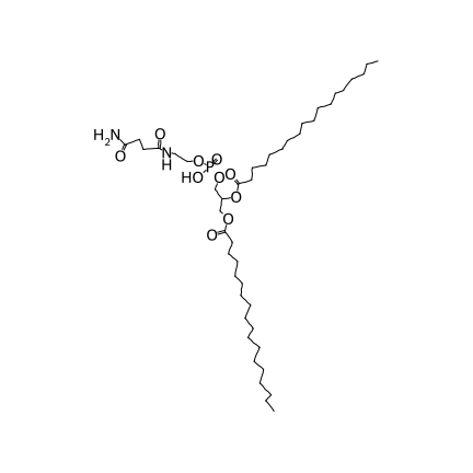 CCCCCCCCCCCCCCCCCC(=O)OCC(COP(=O)(O)OCCNC(=O)CCC(N)=O)OC(=O)CCCCCCCCCCCCCCCCC